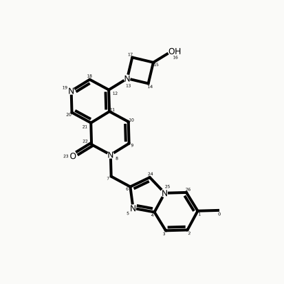 Cc1ccc2nc(Cn3ccc4c(N5CC(O)C5)cncc4c3=O)cn2c1